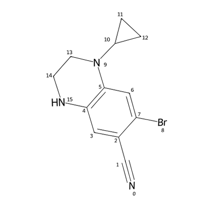 N#Cc1cc2c(cc1Br)N(C1CC1)CCN2